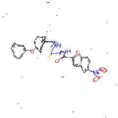 O=C(NC(=S)Nc1cccc(Oc2ccccc2)c1)c1cc2cc([N+](=O)[O-])ccc2o1